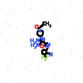 CC#CC(=O)N1CCCC(n2nc(-c3cnn(Cc4cccc(C(F)(F)F)c4C#N)c3)c(C(N)=O)c2N)CCC1